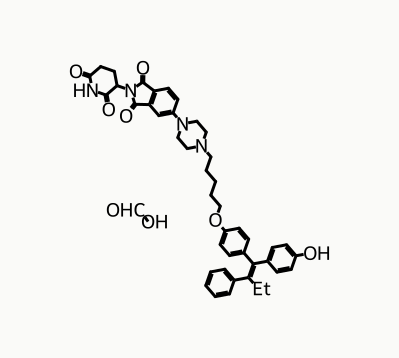 CCC(=C(c1ccc(O)cc1)c1ccc(OCCCCCN2CCN(c3ccc4c(c3)C(=O)N(C3CCC(=O)NC3=O)C4=O)CC2)cc1)c1ccccc1.O=CO